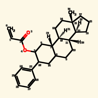 C=CC(=O)OC1C[C@H]2C(CC[C@@H]3[C@@H]2CC[C@]2(C)CCC[C@@H]32)CC1c1ccccc1